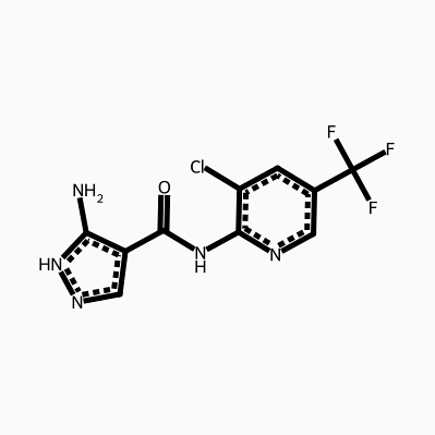 Nc1[nH]ncc1C(=O)Nc1ncc(C(F)(F)F)cc1Cl